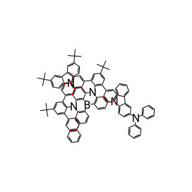 CC(C)(C)c1cc(-c2ccccc2)c(N2c3cc(-c4ccccc4)ccc3B3c4ccc(-n5c6ccccc6c6cc(N(c7ccccc7)c7ccccc7)ccc65)cc4N(c4c(-c5ccccc5)cc(C(C)(C)C)cc4-c4ccccc4)c4cc(-n5c6ccc(C(C)(C)C)cc6c6cc(C(C)(C)C)ccc65)cc2c43)c(-c2ccccc2)c1